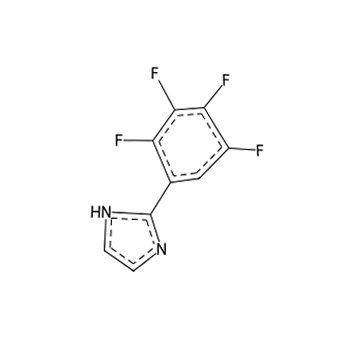 Fc1cc(-c2ncc[nH]2)c(F)c(F)c1F